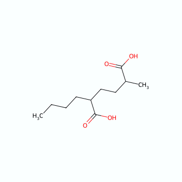 CCCCC(CCC(C)C(=O)O)C(=O)O